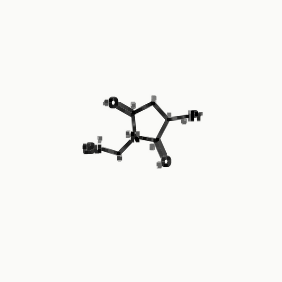 CC(C)C1CC(=O)N(CC(C)(C)C)C1=O